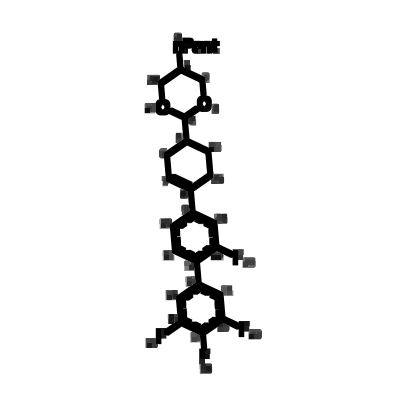 CCCCCC1COC(C2CC=C(c3ccc(-c4cc(F)c(F)c(F)c4)c(F)c3)CC2)OC1